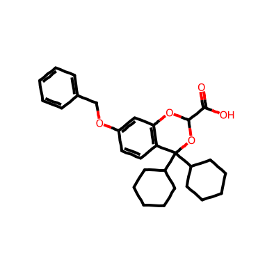 O=C(O)C1Oc2cc(OCc3ccccc3)ccc2C(C2CCCCC2)(C2CCCCC2)O1